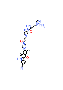 CCc1cc2c(cc1N1CCN(C(=O)CCCN3CC[C@@H](NC(=O)[C@@H](N)CCCn4ccnc4N)C3)CC1)C(C)(C)c1[nH]c3cc(C#N)ccc3c1C2=O